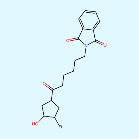 CCC1CC(C(=O)CCCCCN2C(=O)c3ccccc3C2=O)CC1O